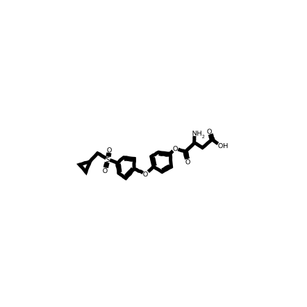 NC(CC(=O)O)C(=O)Oc1ccc(Oc2ccc(S(=O)(=O)CC3CC3)cc2)cc1